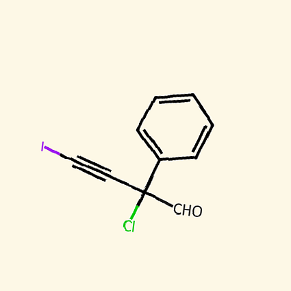 O=CC(Cl)(C#CI)c1ccccc1